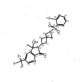 CC1(O)c2cc(C(F)(F)F)cnc2C(=O)N1C1CC2(C1)CN(S(=O)(=O)c1ccccc1F)C2